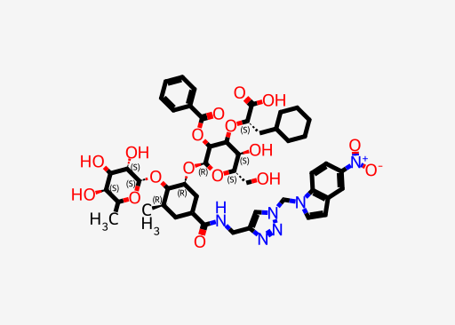 CC1O[C@@H](OC2[C@H](C)CC(C(=O)NCc3cn(Cn4ccc5cc([N+](=O)[O-])ccc54)nn3)C[C@H]2O[C@@H]2O[C@@H](CO)[C@H](O)C(O[C@@H](CC3CCCCC3)C(=O)O)C2OC(=O)c2ccccc2)[C@@H](O)C(O)[C@@H]1O